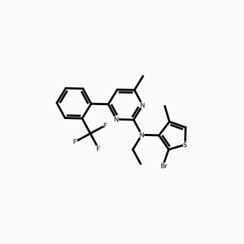 CCN(c1nc(C)cc(-c2ccccc2C(F)(F)F)n1)c1c(C)csc1Br